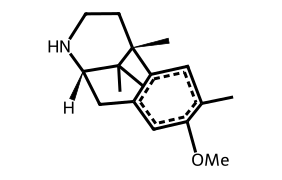 COc1cc2c(cc1C)[C@@]1(C)CCN[C@@H](C2)C1(C)C